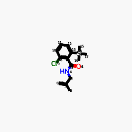 C=C(C)CNC(=O)c1c(Cl)cccc1[Si](C)(C)C